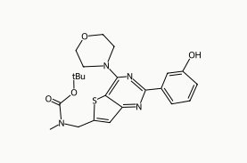 CN(Cc1cc2nc(-c3cccc(O)c3)nc(N3CCOCC3)c2s1)C(=O)OC(C)(C)C